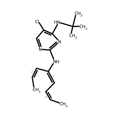 C\C=C/C=C(\C=C/C)Nc1ncc(Cl)c(NC(C)(C)C)n1